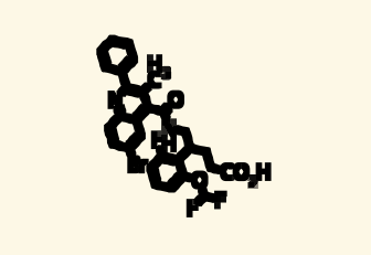 Cc1c(-c2ccccc2)nc2ccc(Br)cc2c1C(=O)NCC(CCC(=O)O)c1c(F)cccc1OC(F)F